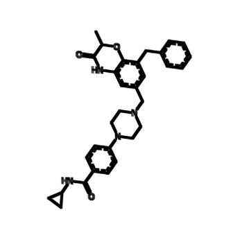 CC1Oc2c(Cc3ccccc3)cc(CN3CCN(c4ccc(C(=O)NC5CC5)cc4)CC3)cc2NC1=O